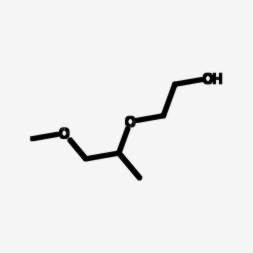 COCC(C)OCCO